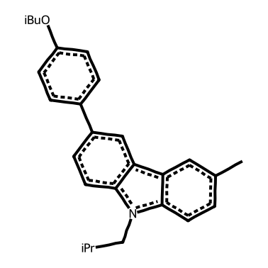 Cc1ccc2c(c1)c1cc(-c3ccc(OCC(C)C)cc3)ccc1n2CC(C)C